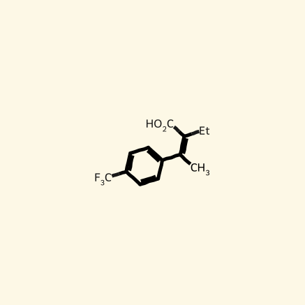 CCC(C(=O)O)=C(C)c1ccc(C(F)(F)F)cc1